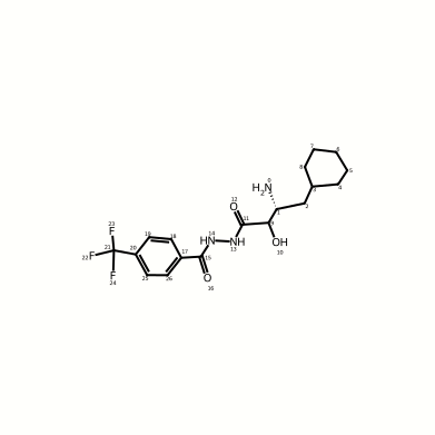 N[C@H](CC1CCCCC1)C(O)C(=O)NNC(=O)c1ccc(C(F)(F)F)cc1